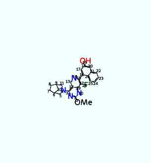 COc1nc(N2CC3CCC(C3)C2)c2cnc(-c3cc(O)cc4ccccc34)c(F)c2n1